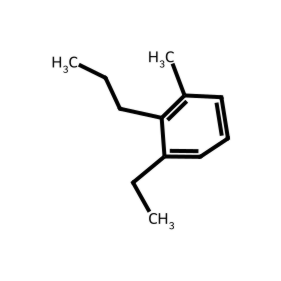 CCCc1c(C)cccc1CC